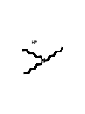 CCCCCCN(CCCCCC)CCCCCC.[H+]